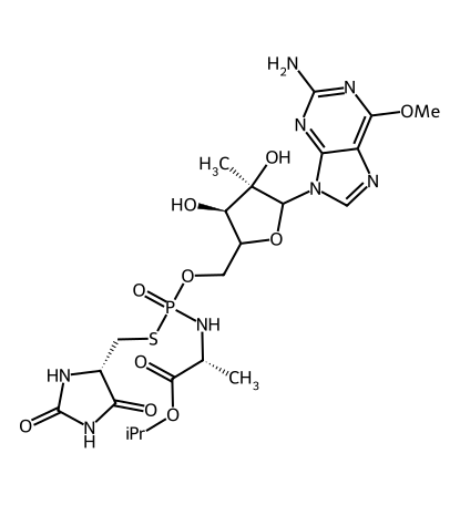 COc1nc(N)nc2c1ncn2C1OC(COP(=O)(N[C@H](C)C(=O)OC(C)C)SC[C@H]2NC(=O)NC2=O)[C@@H](O)[C@@]1(C)O